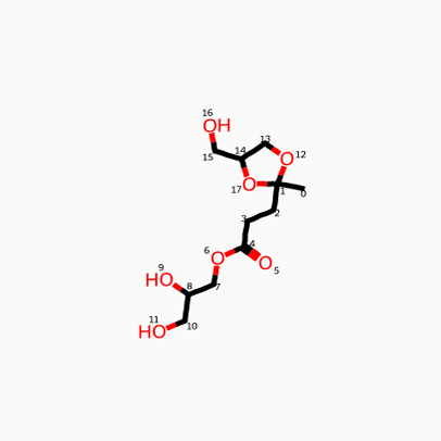 CC1(CCC(=O)OCC(O)CO)OCC(CO)O1